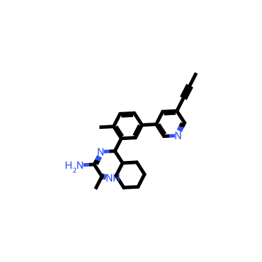 CC#Cc1cncc(-c2ccc(C)c(C(/N=C(/N)C(C)=N)C3CCCCC3)c2)c1